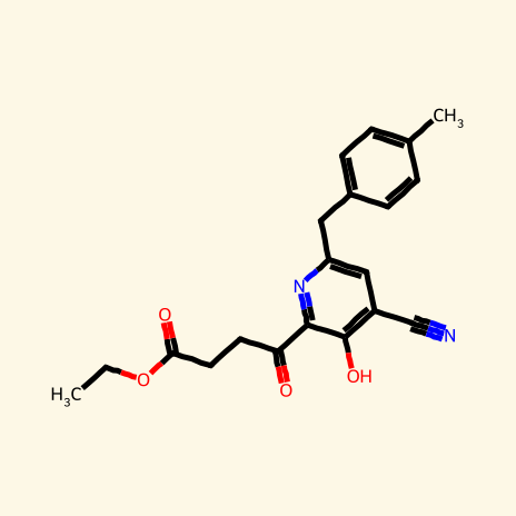 CCOC(=O)CCC(=O)c1nc(Cc2ccc(C)cc2)cc(C#N)c1O